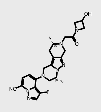 C[C@@H]1CN(c2ccc(C#N)n3ncc(F)c23)Cc2c3c(nn21)CN(CC(=O)N1CC(O)C1)[C@@H](C)C3